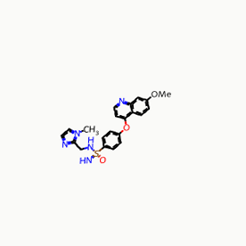 COc1ccc2c(Oc3ccc(S(=N)(=O)NCc4nccn4C)cc3)ccnc2c1